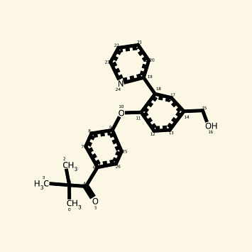 CC(C)(C)C(=O)c1ccc(Oc2ccc(CO)cc2-c2ccccn2)cc1